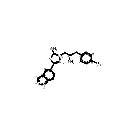 NC1SC(c2ccc3[nH]ncc3c2)=NN1C[C@H](N)Cc1ccc(C(F)(F)F)cc1